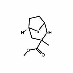 COC(=O)C1(C)C[C@H]2CCC(N1)S2